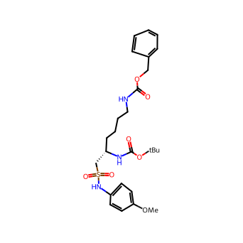 COc1ccc(NS(=O)(=O)C[C@H](CCCCNC(=O)OCc2ccccc2)NC(=O)OC(C)(C)C)cc1